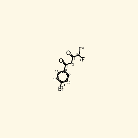 O=C(CC(=O)C(F)F)c1ccc(Br)cc1